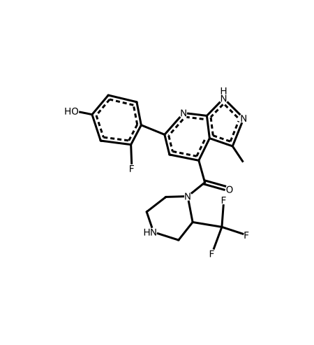 Cc1n[nH]c2nc(-c3ccc(O)cc3F)cc(C(=O)N3CCNCC3C(F)(F)F)c12